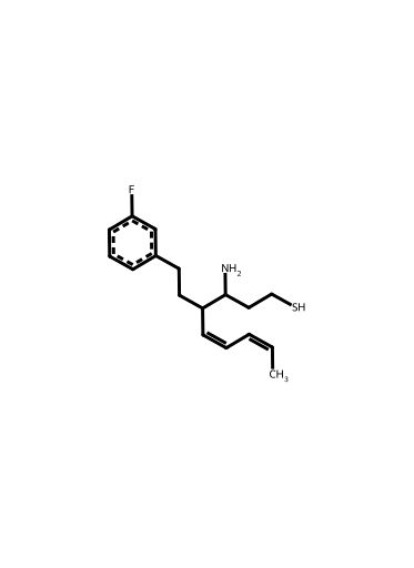 C/C=C\C=C/C(CCc1cccc(F)c1)C(N)CCS